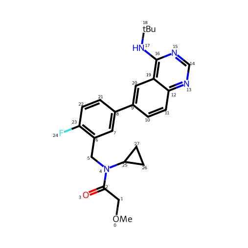 COCC(=O)N(Cc1cc(-c2ccc3ncnc(NC(C)(C)C)c3c2)ccc1F)C1CC1